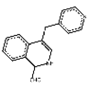 O=CC1NC=C(Cc2ccncc2)c2ccccc21